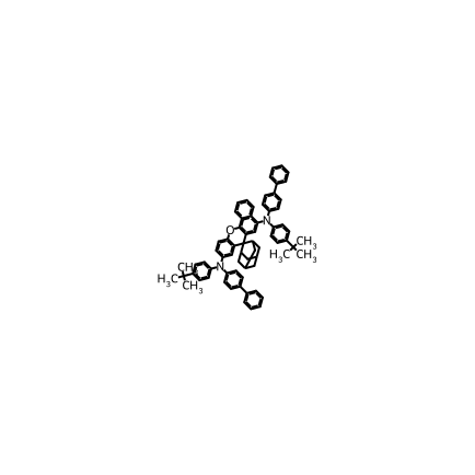 CC(C)(C)c1ccc(N(c2ccc(-c3ccccc3)cc2)c2ccc3c(c2)C2(c4cc(N(c5ccc(-c6ccccc6)cc5)c5ccc(C(C)(C)C)cc5)c5ccccc5c4O3)C3CC4CC(C3)CC2C4)cc1